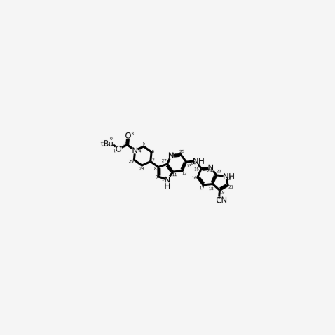 CC(C)(C)OC(=O)N1CCC(c2c[nH]c3cc(Nc4ccc5c(C#N)c[nH]c5n4)cnc23)CC1